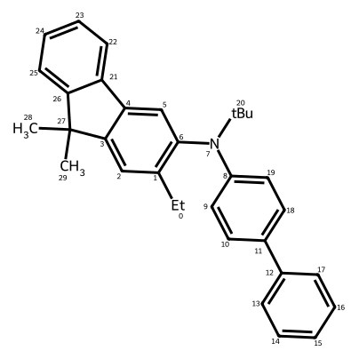 CCc1cc2c(cc1N(c1ccc(-c3ccccc3)cc1)C(C)(C)C)-c1ccccc1C2(C)C